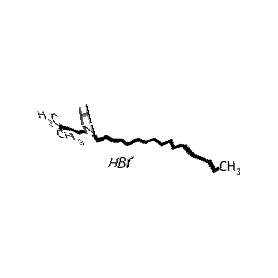 Br.CCCCCCCCCCCCCCCCNCC=C(C)C